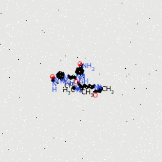 CCn1nc(C)c(CCCCCn2nc(C)cc2C=O)c1C(=O)Nc1nc2cc(C(N)=O)ccc2n1CCCCn1c(NC)nc2c(N3CNCC3=O)cccc21